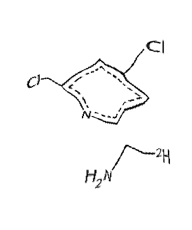 Clc1ccnc(Cl)c1.[2H]CN